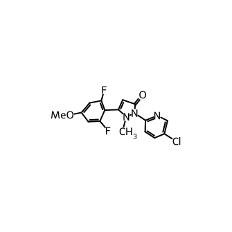 COc1cc(F)c(-c2cc(=O)n(-c3ccc(Cl)cn3)n2C)c(F)c1